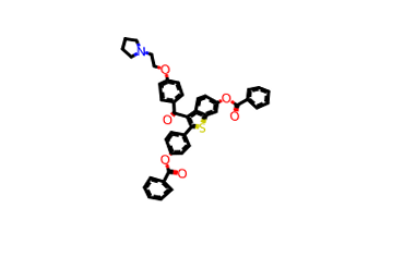 O=C(Oc1ccc(-c2sc3cc(OC(=O)c4ccccc4)ccc3c2C(=O)c2ccc(OCCN3CCCC3)cc2)cc1)c1ccccc1